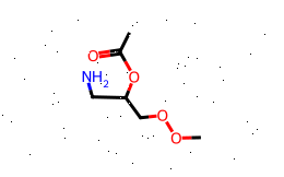 COOCC(CN)OC(C)=O